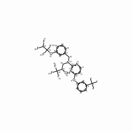 CC(C)(C)c1cccc(Oc2ccnc(N(Cc3cccc(OC(F)(F)C(F)F)c3)C[C@@H](O)C(F)(F)F)n2)c1